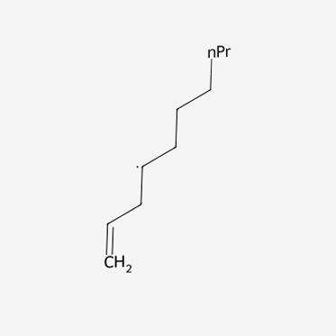 C=CC[CH]CCCCCC